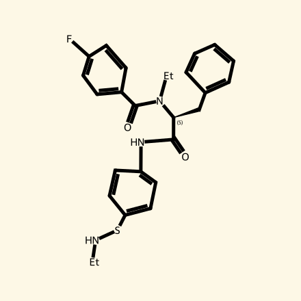 CCNSc1ccc(NC(=O)[C@H](Cc2ccccc2)N(CC)C(=O)c2ccc(F)cc2)cc1